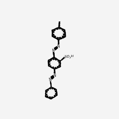 Cc1ccc(N=Nc2ccc(N=Nc3ccccc3)cc2S(=O)(=O)O)cc1